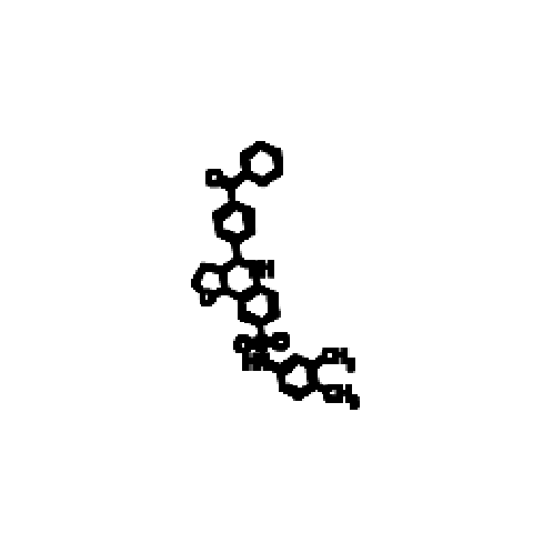 Cc1ccc(NS(=O)(=O)c2ccc3c(c2)C2OCCC2C(c2ccc(C(=O)C4CCCCC4)cc2)N3)cc1C